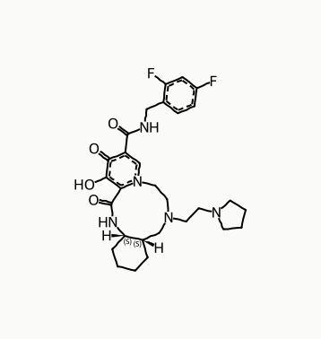 O=C(NCc1ccc(F)cc1F)c1cn2c(c(O)c1=O)C(=O)N[C@H]1CCCC[C@H]1CN(CCN1CCCC1)CC2